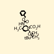 C[C@@H]1C=C[C@H](CO[Si](C)(C)C(C)(C)C)N(C(=O)O)C[C@H]1NC(=O)OCc1ccccc1